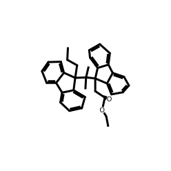 CCCC1(C(C)(C)C2(CC(=O)OCC)c3ccccc3-c3ccccc32)c2ccccc2-c2ccccc21